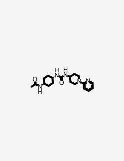 CC(=O)N[C@H]1CC[C@H](NC(=O)NC2CCN(c3ccccn3)CC2)CC1